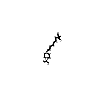 CC(C)N1CCN(CCCCCCCC(C)(C)C)CC1